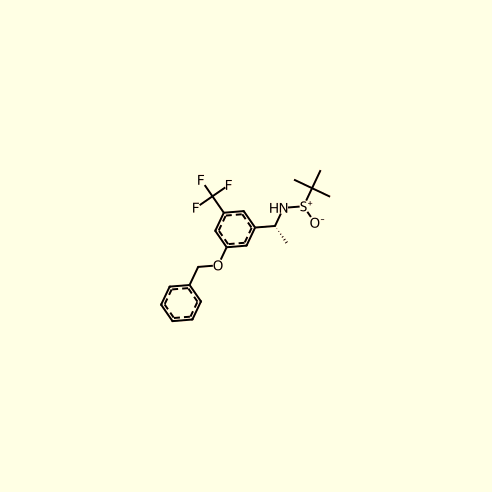 C[C@@H](N[S+]([O-])C(C)(C)C)c1cc(OCc2ccccc2)cc(C(F)(F)F)c1